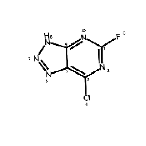 Fc1nc(Cl)c2nn[nH]c2n1